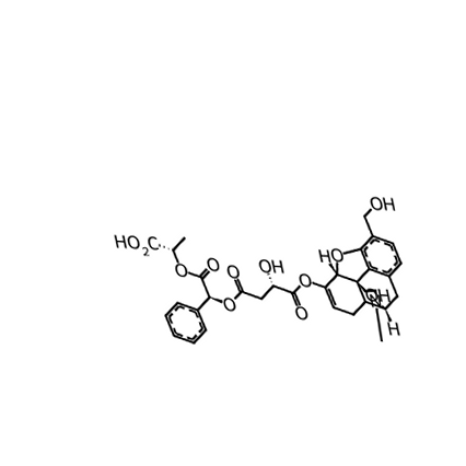 C[C@H](OC(=O)[C@@H](OC(=O)C[C@H](O)C(=O)OC1=CC[C@@]2(O)[C@H]3Cc4ccc(CO)c5c4[C@@]2(CCN3C)[C@H]1O5)c1ccccc1)C(=O)O